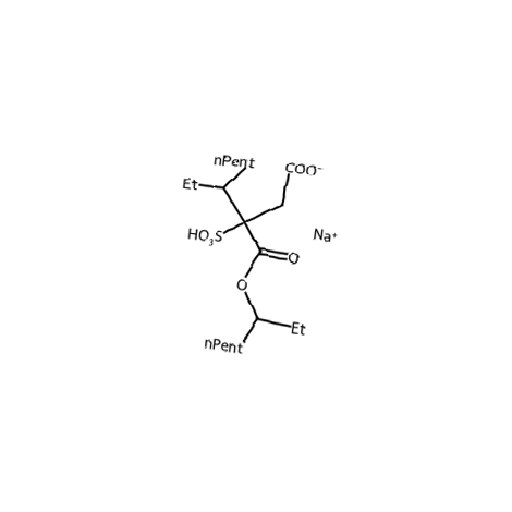 CCCCCC(CC)OC(=O)C(CC(=O)[O-])(C(CC)CCCCC)S(=O)(=O)O.[Na+]